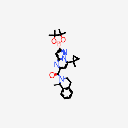 C[C@@H]1c2ccccc2CCN1C(=O)c1cc(C2(C)CC2)n2nc(B3OC(C)(C)C(C)(C)O3)cc2n1